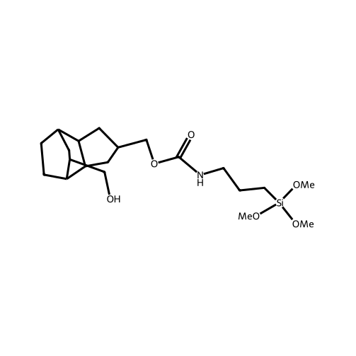 CO[Si](CCCNC(=O)OCC1CC2C3CCC(C(CO)C3)C2C1)(OC)OC